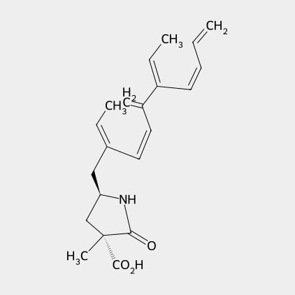 C=C/C=C\C(=C/C)C(=C)/C=C\C(=C/C)C[C@@H]1C[C@@](C)(C(=O)O)C(=O)N1